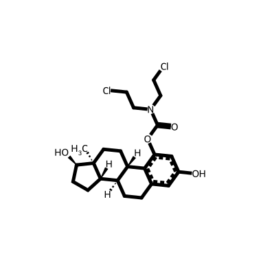 C[C@]12CC[C@@H]3c4c(cc(O)cc4OC(=O)N(CCCl)CCCl)CC[C@H]3[C@@H]1CC[C@H]2O